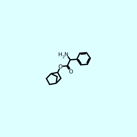 NC(C(=O)OC1CC2CCC1C2)c1ccccc1